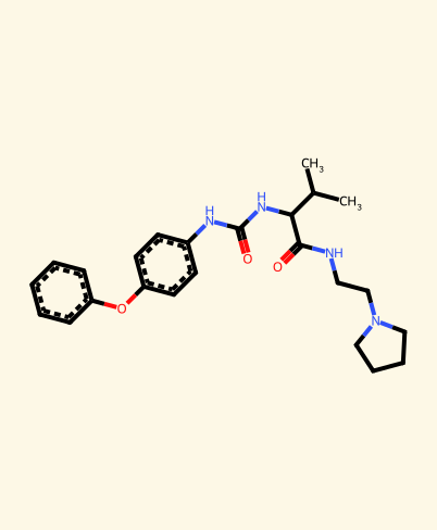 CC(C)C(NC(=O)Nc1ccc(Oc2ccccc2)cc1)C(=O)NCCN1CCCC1